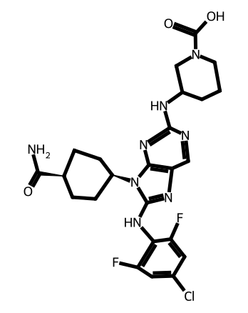 NC(=O)[C@H]1CC[C@@H](n2c(Nc3c(F)cc(Cl)cc3F)nc3cnc(NC4CCCN(C(=O)O)C4)nc32)CC1